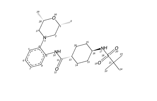 C[C@@H]1CN(c2ccccc2NC(=O)[C@H]2CC[C@H](NS(=O)(=O)C(C)(C)C)CC2)C[C@H](C)O1